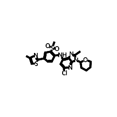 Cc1csc(-c2ccc(Nc3cc(Cl)nc4c3nc(C)n4C3CCCCO3)c(S(C)(=O)=O)c2)n1